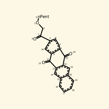 CCCCCOCC(=O)c1ccc2c(c1)C(=O)c1cc3ccccc3cc1C2=O